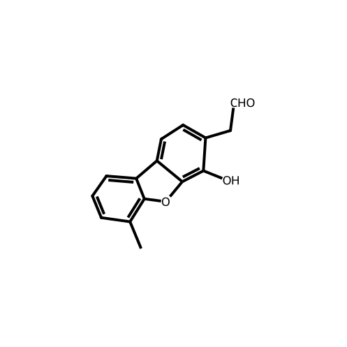 Cc1cccc2c1oc1c(O)c(CC=O)ccc12